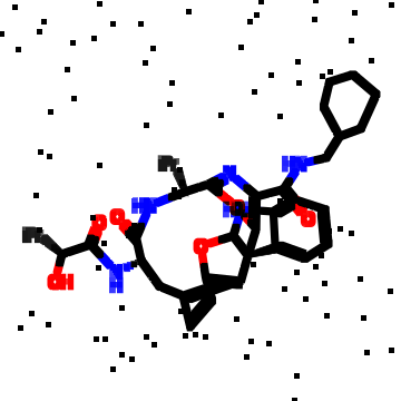 CC(C)[C@H](O)C(=O)N[C@H]1Cc2ccc3c(c2)[C@@]2(c4ccccc4NC2O3)c2oc(nc2C(=O)NCC2CCCCC2)[C@H](C(C)C)NC1=O